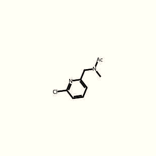 CC(=O)N(C)Cc1cccc(Cl)n1